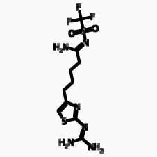 NC(N)=Nc1nc(CCCC/C(N)=N/S(=O)(=O)C(F)(F)F)cs1